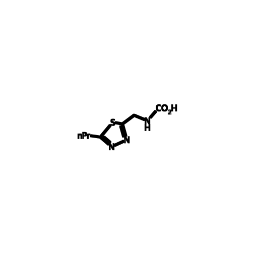 CCCc1nnc(CNC(=O)O)s1